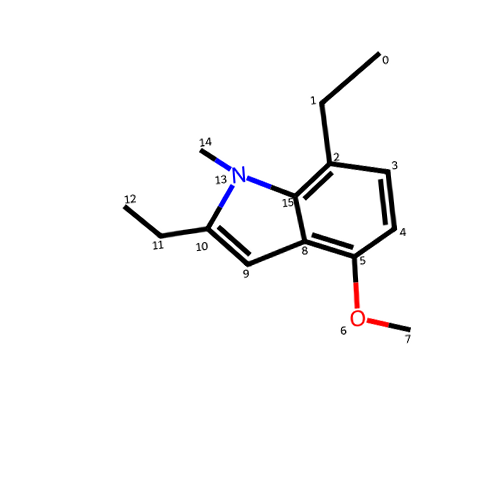 CCc1ccc(OC)c2cc(CC)n(C)c12